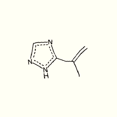 C=C(C)c1ncn[nH]1